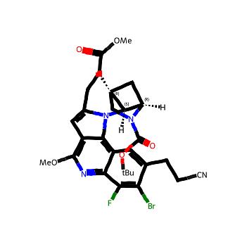 COC(=O)CCc1cc2c(OC)nc3c(F)c(Br)c(CCC#N)cc3c2n1[C@H]1[C@@H]2C[C@H]1N(C(=O)OC(C)(C)C)C2